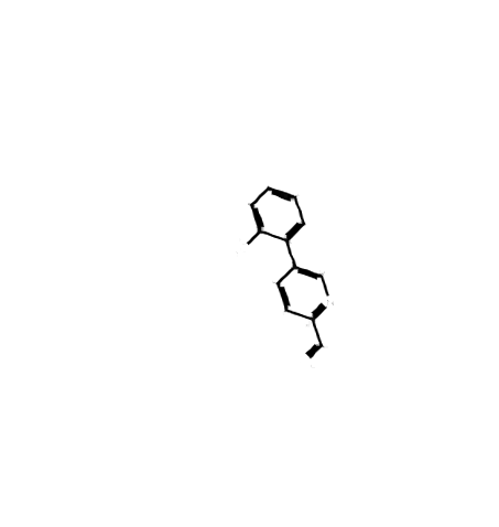 Cc1ccccc1-c1ccc(C=O)nc1